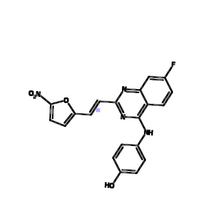 O=[N+]([O-])c1ccc(/C=C/c2nc(Nc3ccc(O)cc3)c3ccc(F)cc3n2)o1